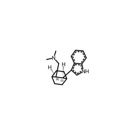 CN(C)C[C@@H]1C2CCC(CC2)[C@@H]1c1c[nH]c2ccccc12